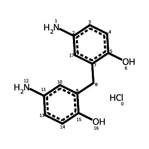 Cl.Nc1ccc(O)c(Cc2cc(N)ccc2O)c1